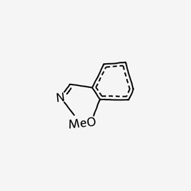 C/N=C\c1ccccc1OC